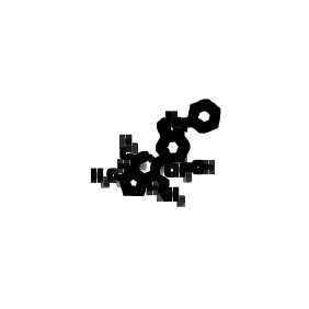 C[C@@H]1C[C@H]([C@@]2(C)Cc3cnn(C4CCCCC4)c3C[C@@H]2CO)[C@@H](CN)[C@H]2CC[C@H](C)[C@@H]21